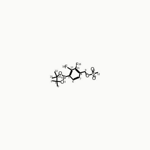 CC1(C)OB(c2ccc(COS(C)(=O)=O)c(F)c2F)OC1(C)C